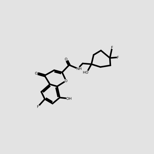 O=C(NCC1(O)CCC(F)(F)CC1)c1cc(=O)c2cc(F)cc(O)c2o1